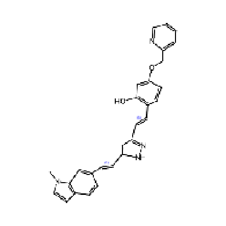 Cn1ccc2ccc(/C=C/c3cc(/C=C/c4ccc(OCc5ccccn5)cc4O)n[nH]3)cc21